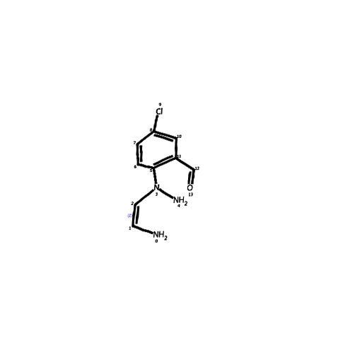 N/C=C\N(N)c1ccc(Cl)cc1C=O